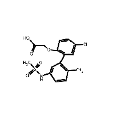 Cc1ccc(NS(C)(=O)=O)cc1-c1cc(Cl)ccc1OCC(=O)O